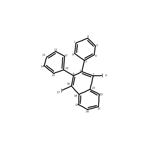 Ic1c(-c2ccccc2)c(-c2ccccc2)c(I)c2ccccc12